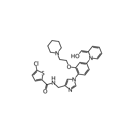 O=C(NCc1cn(-c2ccc(N3C=CC=C/C3=C/O)cc2OCCN2CCCCC2)cn1)c1ccc(Cl)s1